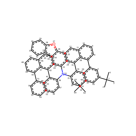 CC(C)(C)c1cc(-c2cccc3cccc(-c4ccccc4N(c4ccc5oc6ccccc6c5c4)c4ccccc4-c4cccc5cccc(-c6ccccc6)c45)c23)cc(C(C)(C)C)c1